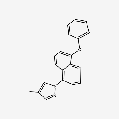 Cc1cnn(-c2cccc3c(Oc4ccccc4)cccc23)c1